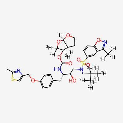 [2H]C([2H])([2H])c1noc2ccc(S(=O)(=O)N(C[C@@H](O)[C@H](Cc3ccc(OCc4csc(C)n4)cc3)NC(=O)O[C@]3([2H])[C@@H]4CCO[C@@H]4OC3([2H])[2H])CC([2H])(C([2H])([2H])[2H])C([2H])([2H])[2H])cc12